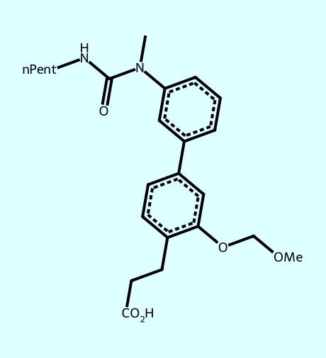 CCCCCNC(=O)N(C)c1cccc(-c2ccc(CCC(=O)O)c(OCOC)c2)c1